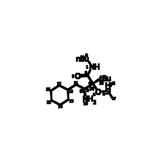 CCCCNC(=O)[C@](O[SiH](C)C)([C@@H](N)CC1CCCCC1)C(C)(C)C